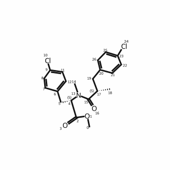 COC(=O)[C@H](Cc1ccc(Cl)cc1)N(C)C(=O)[C@@H](C)Cc1ccc(Cl)cc1